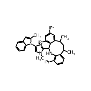 Cc1cc2ccccc2n1-c1cn(C)c(C2Nc3c(C(C)C)cccc3C(C)CC(C)c3cc(C(C)C)cc(C(C)C)c32)n1